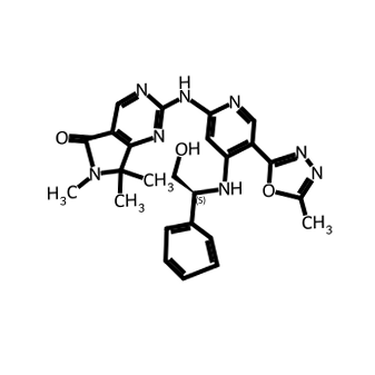 Cc1nnc(-c2cnc(Nc3ncc4c(n3)C(C)(C)N(C)C4=O)cc2N[C@H](CO)c2ccccc2)o1